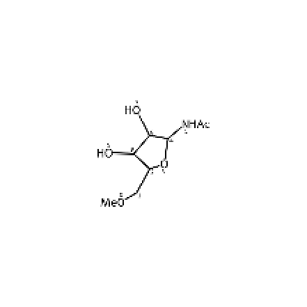 COCC1OC(NC(C)=O)C(O)C1O